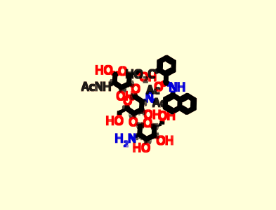 CC(=O)N[C@H]1C(O)O[C@H](CO)[C@@H](O[C@@H]2O[C@H](CO)[C@@H](O[C@@H]3O[C@H](CO)[C@@H](O)[C@H](O)[C@H]3N)[C@H](O)[C@H]2N(C(C)=O)C(C)=O)[C@@H]1O.O=C(O)c1ccccc1C(=O)Nc1cccc2ccccc12